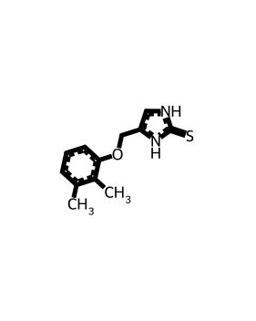 Cc1cccc(OCc2c[nH]c(=S)[nH]2)c1C